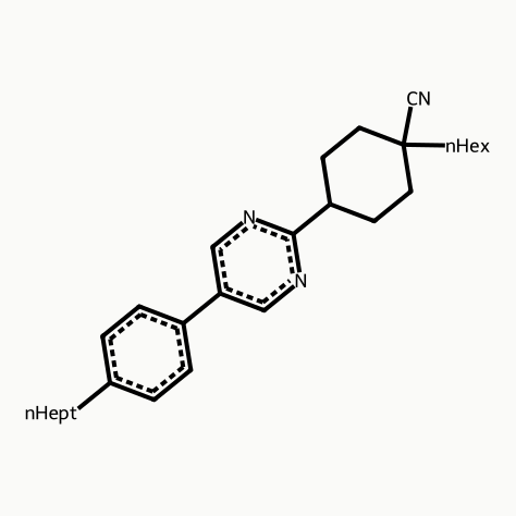 CCCCCCCc1ccc(-c2cnc(C3CCC(C#N)(CCCCCC)CC3)nc2)cc1